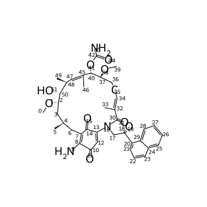 CO[C@H]1C[C@H](C)CC2=C(N)C(=O)C=C(C2=O)N(CC(=O)c2cccc3ccccc23)C(=O)/C(C)=C/CC[C@H](OC)[C@@H](OC(N)=O)/C(C)=C/[C@H](C)[C@H]1O